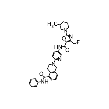 CC1CCCN(c2nc(CF)c(C(=O)Nc3ccc(N4CCc5c(cccc5C(=O)Nc5ccccc5)C4)nc3)o2)C1